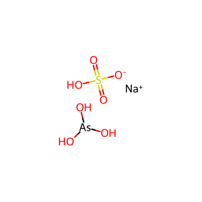 O=S(=O)([O-])O.O[As](O)O.[Na+]